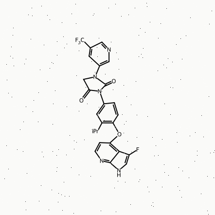 CC(C)c1cc(N2C(=O)CN(c3cncc(C(F)(F)F)c3)C2=O)ccc1Oc1ccnc2[nH]cc(F)c12